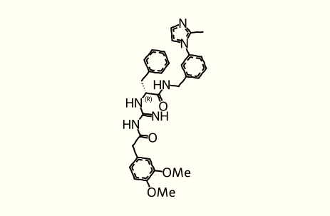 COc1ccc(CC(=O)NC(=N)N[C@H](Cc2ccccc2)C(=O)NCc2cccc(-n3ccnc3C)c2)cc1OC